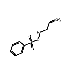 C=CCPOS(=O)(=O)c1ccccc1